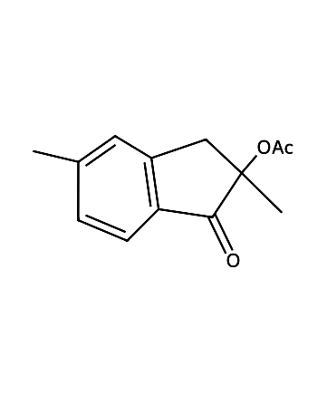 CC(=O)OC1(C)Cc2cc(C)ccc2C1=O